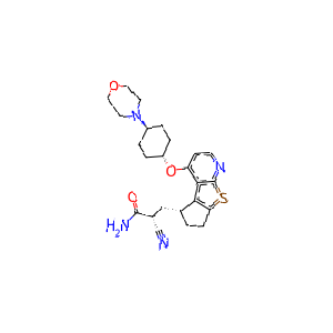 N#C[C@@H](C[C@H]1CCc2sc3nccc(O[C@H]4CC[C@H](N5CCOCC5)CC4)c3c21)C(N)=O